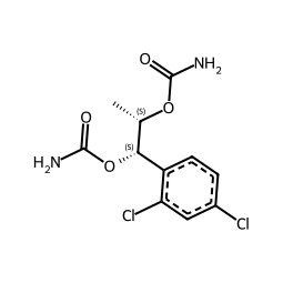 C[C@H](OC(N)=O)[C@@H](OC(N)=O)c1ccc(Cl)cc1Cl